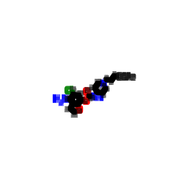 COCCCN1CCC(NC(=O)Oc2cc(Cl)c(N)c3c2OCC3)CC1